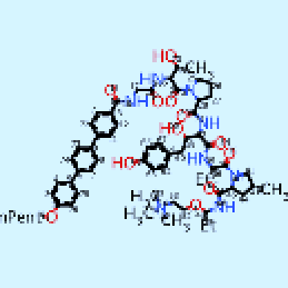 CCCCCOc1ccc(-c2ccc(-c3ccc(C(=O)NCC(=O)NC(C(=O)N4CCCC4C(=O)NC(C(=O)NC(CC)C(=O)N4C[C@H](C)CC4C(=O)NC(CC)OCC[N+](C)(C)C)[C@H](O)Cc4ccc(O)cc4)[C@@H](C)O)cc3)cc2)cc1